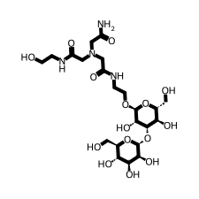 NC(=O)CN(CC(=O)NCCO)CC(=O)NCCO[C@H]1O[C@H](CO)[C@@H](O)[C@H](O[C@H]2O[C@H](CO)[C@@H](O)[C@H](O)[C@@H]2O)[C@@H]1O